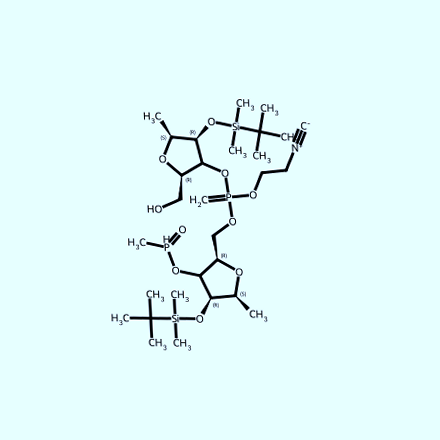 [C-]#[N+]CCOP(=C)(OC[C@H]1O[C@@H](C)[C@@H](O[Si](C)(C)C(C)(C)C)C1O[PH](C)=O)OC1[C@@H](CO)O[C@@H](C)[C@H]1O[Si](C)(C)C(C)(C)C